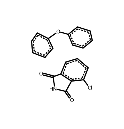 O=C1NC(=O)c2c(Cl)cccc21.c1ccc(Oc2ccccc2)cc1